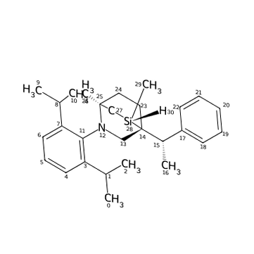 CC(C)c1cccc(C(C)C)c1N1C[C@]2([C@@H](C)c3ccccc3)CC[C@@]1(C)C[Si@@H]2C